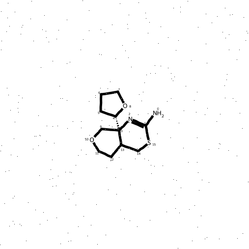 NC1=NC2([C@@H]3CCCO3)COCCC2CS1